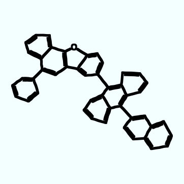 c1ccc(-c2cc3c4cc(-c5c6ccccc6c(-c6ccc7ccccc7c6)c6ccccc56)ccc4oc3c3ccccc23)cc1